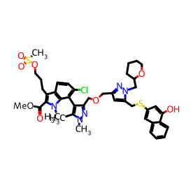 COC(=O)c1c(CCCOS(C)(=O)=O)c2ccc(Cl)c(-c3c(COCc4cc(CSc5cc(O)c6ccccc6c5)n(CC5CCCCO5)n4)nn(C)c3C)c2n1C